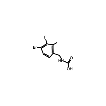 Cc1c(CNC(=O)O)ccc(Br)c1F